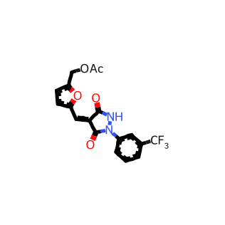 CC(=O)OCc1ccc(C=C2C(=O)NN(c3cccc(C(F)(F)F)c3)C2=O)o1